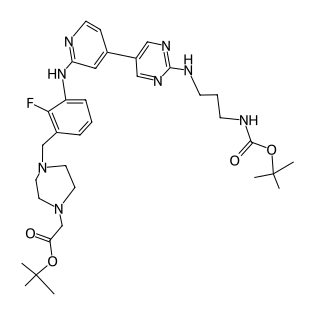 CC(C)(C)OC(=O)CN1CCN(Cc2cccc(Nc3cc(-c4cnc(NCCCNC(=O)OC(C)(C)C)nc4)ccn3)c2F)CC1